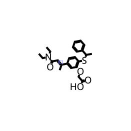 CCN(CC)C(=O)/C=C(\C)c1ccc(SC(C)c2ccccc2)c(OCC(=O)O)c1